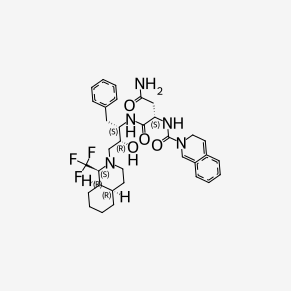 NC(=O)C[C@H](NC(=O)N1C=c2ccccc2=CC1)C(=O)N[C@@H](Cc1ccccc1)[C@H](O)CN1CC[C@H]2CCCC[C@H]2[C@H]1C(F)(F)F